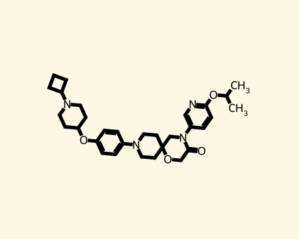 CC(C)Oc1ccc(N2CC3(CCN(c4ccc(OC5CCN(C6CCC6)CC5)cc4)CC3)OCC2=O)cn1